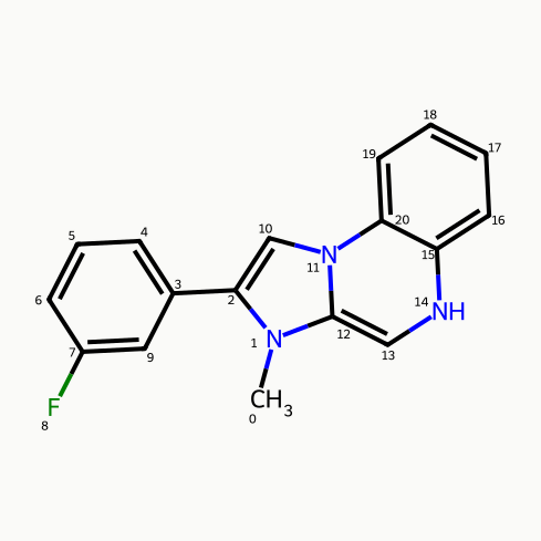 CN1C(c2cccc(F)c2)=CN2C1=CNc1ccccc12